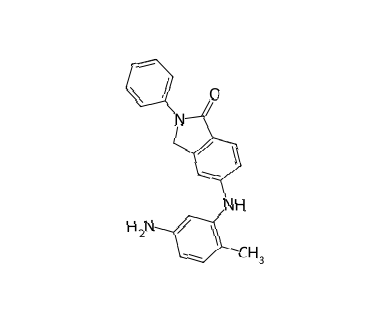 Cc1ccc(N)cc1Nc1ccc2c(c1)CN(c1ccccc1)C2=O